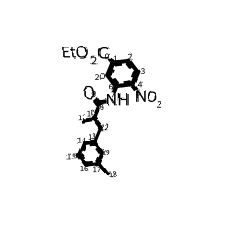 CCOC(=O)c1ccc([N+](=O)[O-])c(NC(=O)C(C)Cc2cccc(C)c2)c1